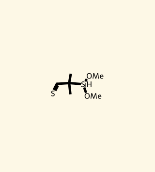 CO[SiH](OC)C(C)(C)C=S